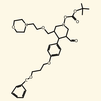 CC(C)(C)OC(=O)ON1CC(C=O)C(c2ccc(OCCCOCc3ccccc3)cc2)C(COCCN2CCOCC2)C1